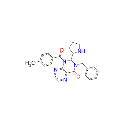 Cc1ccc(C(=O)N2c3nccnc3C(=O)N(Cc3ccccc3)C2C2CCCN2)cc1